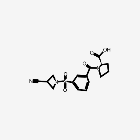 N#CC1CN(S(=O)(=O)c2cccc(C(=O)N3CCC[C@@H]3C(=O)O)c2)C1